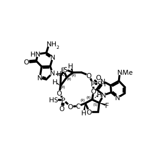 CNc1ccnc2c1ncn2[C@]1(F)CO[C@@H]2COP(=O)(S)O[C@@H]3[C@@H](F)[C@@H](COP(=O)(S)O[C@H]21)S[C@H]3n1cnc2c(=O)[nH]c(N)nc21